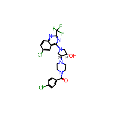 O=C(c1ccc(Cl)cc1)N1CCN([C@H]2CN(c3nc(C(F)(F)F)nc4ccc(Cl)cc34)C[C@@H]2O)CC1